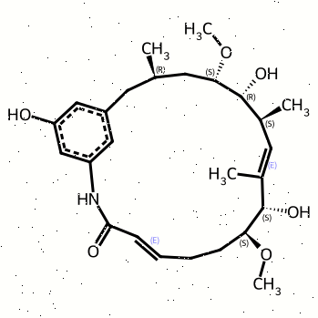 CO[C@H]1C[C@H](C)Cc2cc(O)cc(c2)NC(=O)/C=C/CC[C@H](OC)[C@@H](O)/C(C)=C/[C@H](C)[C@H]1O